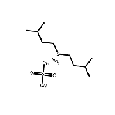 CC(C)CCSCCC(C)C.N.O=S(=O)(O)O